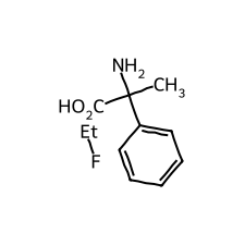 CC(N)(C(=O)O)c1ccccc1.CCF